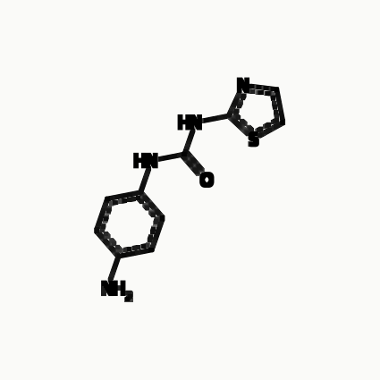 Nc1ccc(NC(=O)Nc2nccs2)cc1